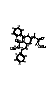 CC(C)(C)OC(=O)NC(CCc1ccccc1)SC(CCc1ccccc1)NC(=O)OC(C)(C)C